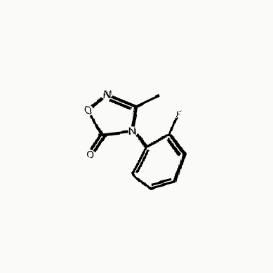 Cc1noc(=O)n1-c1ccccc1F